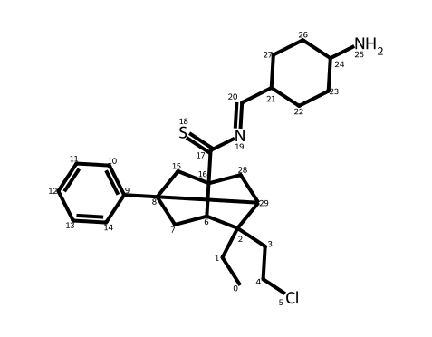 CCC1(CCCl)C2CC3(c4ccccc4)CC2(C(=S)/N=C/C2CCC(N)CC2)CC31